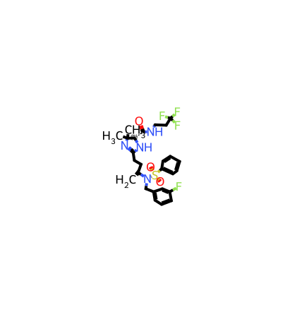 C=C(CCC1=NC(C)(C)[C@H](C(=O)NCCC(F)(F)F)N1)N(Cc1cccc(F)c1)S(=O)(=O)c1ccccc1